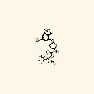 CC(C)(C)OC(=O)NC1CCC(Oc2cc(Br)cc3nonc23)CC1